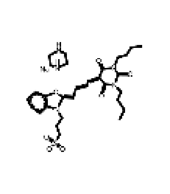 C1CNCCN1.CCCCN1C(=O)C(=C/C=C/C=C2\Oc3ccccc3N2CCCS(=O)(=O)[O-])C(=O)N(CCCC)C1=O.[Na+]